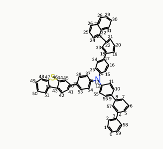 c1ccc(-c2cccc(-c3ccc(N(c4ccc(-c5cccc(-c6cccc7ccccc67)c5)cc4)c4ccc(-c5ccc6c(c5)sc5ccccc56)cc4)cc3)c2)cc1